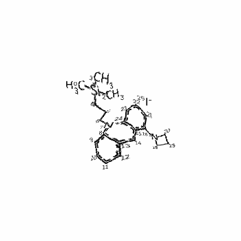 C[Si](C)(C)CCC[n+]1c2ccccc2cc2c(N3CCC3)cccc21.[I-]